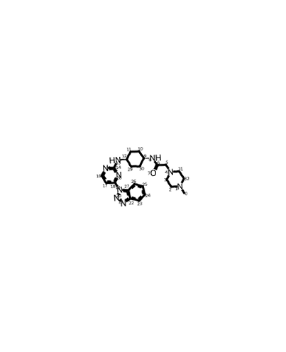 CN1CCN(CC(=O)N[C@H]2CC[C@H](Nc3nccc(-n4nnc5ccccc54)n3)CC2)CC1